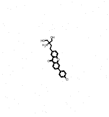 NC(CO)(CO)CCc1ccc2oc3cc(-c4ccc(Cl)cc4)ccc3c(=O)c2c1